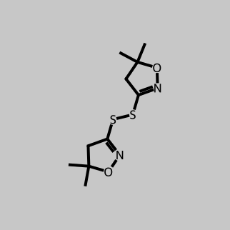 CC1(C)CC(SSC2=NOC(C)(C)C2)=NO1